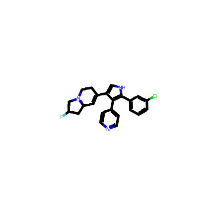 FC1CC2C=C(c3c[nH]c(-c4cccc(Cl)c4)c3-c3ccncc3)CCN2C1